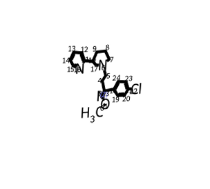 CO/N=C(/CCN1CCCC(c2ccccn2)C1)c1ccc(Cl)cc1